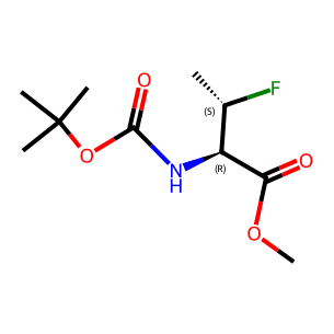 COC(=O)[C@@H](NC(=O)OC(C)(C)C)[C@H](C)F